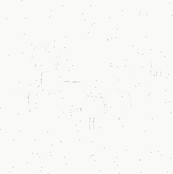 CNS(=O)(=O)c1ccc2c(c1)C(=Cc1cn(C(C)=O)c3ccccc13)C(=O)N2